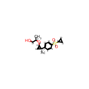 CC(=O)[C@]1(c2ccc(S(=O)(=O)C3CC3)cc2)C=C1O[C@H](C)CO